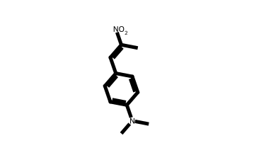 CC(=Cc1ccc(N(C)C)cc1)[N+](=O)[O-]